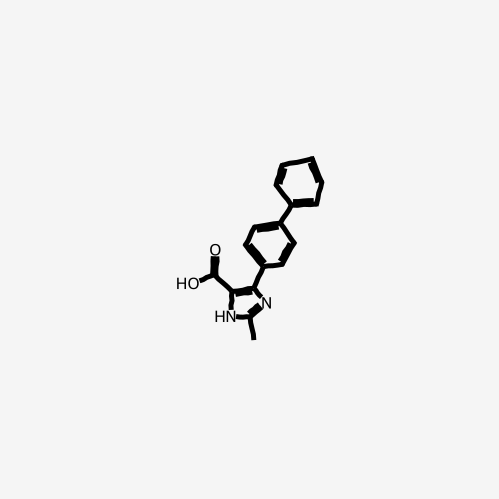 Cc1nc(-c2ccc(-c3ccccc3)cc2)c(C(=O)O)[nH]1